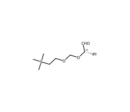 CC(C)[C@@H](C=O)OCOCC[Si](C)(C)C